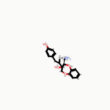 CC(Cc1ccc(O)cc1)C1(O)COc2ccccc2O[C@@H]1CN